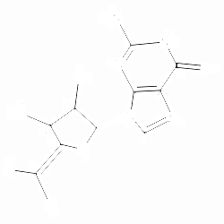 Nc1nc2c(ncn2[C@@H]2OC(=C(Cl)Cl)C(O)C2O)c(=O)[nH]1